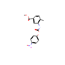 COC(=O)c1ccc(C)c(NC(=O)Oc2ccc([N+](=O)[O-])cc2)c1